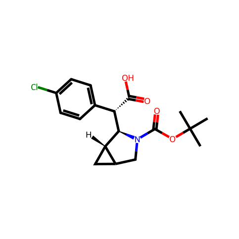 CC(C)(C)OC(=O)N1CC2C[C@@H]2[C@H]1[C@@H](C(=O)O)c1ccc(Cl)cc1